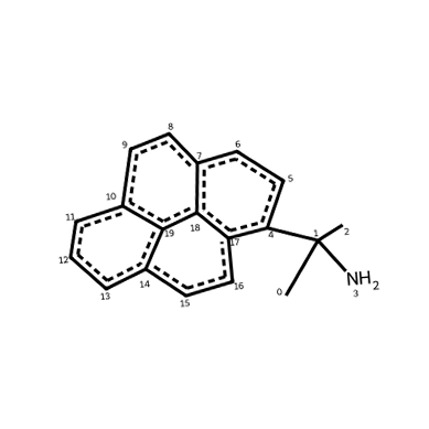 CC(C)(N)c1ccc2ccc3cccc4ccc1c2c34